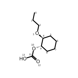 CCCO[C@H]1CCCC[C@@H]1OC(=O)O